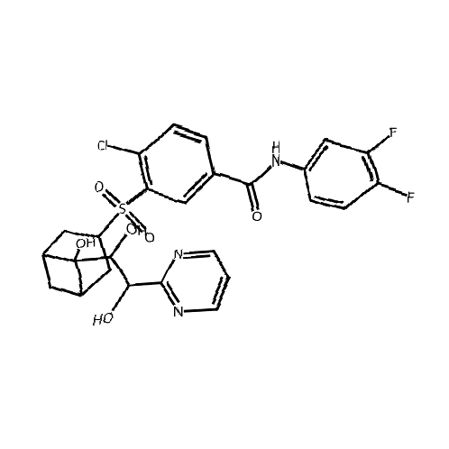 O=C(Nc1ccc(F)c(F)c1)c1ccc(Cl)c(S(=O)(=O)C2CC3CC(C2)C3(O)C(O)C(O)c2ncccn2)c1